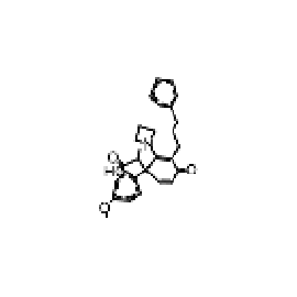 COc1ccc(C2(C(C)C(=O)O)C=CC(=O)C(CCCc3ccccc3)=C2N2CCC2)cc1